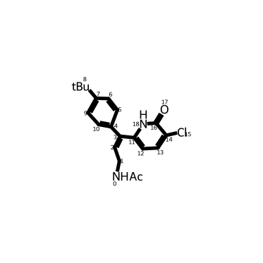 CC(=O)NCC=C(c1ccc(C(C)(C)C)cc1)c1ccc(Cl)c(=O)[nH]1